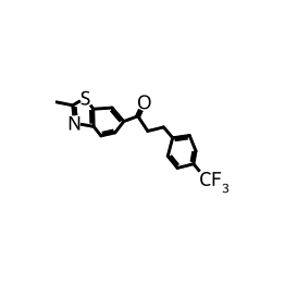 Cc1nc2ccc(C(=O)CCc3ccc(C(F)(F)F)cc3)cc2s1